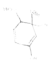 CCCCC1(O)C=C(O)C=CC1C(=O)O